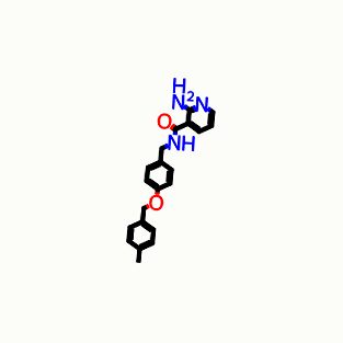 Cc1ccc(COc2ccc(CNC(=O)c3cccnc3N)cc2)cc1